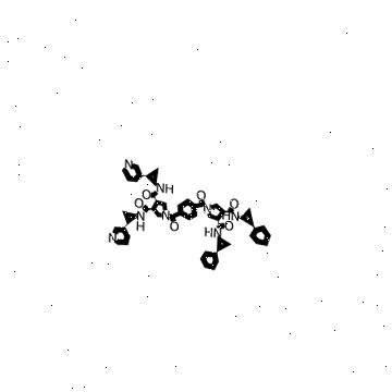 O=C(NC1C[C@H]1c1cccnc1)[C@@H]1CN(C(=O)c2ccc(C(=O)N3C[C@@H](C(=O)N[C@H]4C[C@@H]4c4ccccc4)[C@H](C(=O)N[C@H]4C[C@@H]4c4ccccc4)C3)cc2)C[C@H]1C(=O)N[C@@H]1C[C@H]1c1cccnc1